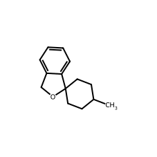 CC1CCC2(CC1)OCc1ccccc12